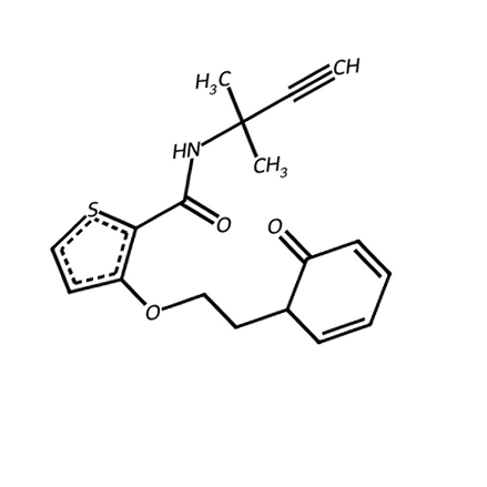 C#CC(C)(C)NC(=O)c1sccc1OCCC1C=CC=CC1=O